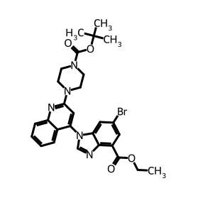 CCOC(=O)c1cc(Br)cc2c1ncn2-c1cc(N2CCN(C(=O)OC(C)(C)C)CC2)nc2ccccc12